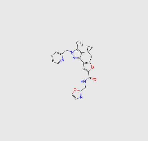 Cc1c2c(nn1Cc1ccccn1)-c1cc(C(=O)NCc3ncco3)oc1CC21CC1